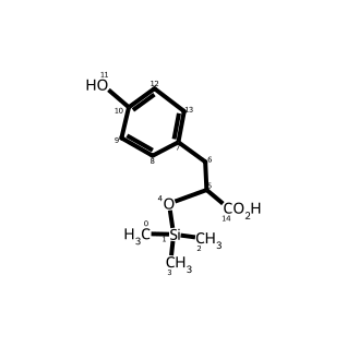 C[Si](C)(C)OC(Cc1ccc(O)cc1)C(=O)O